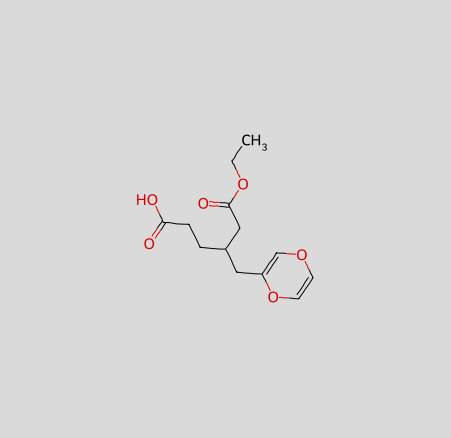 CCOC(=O)CC(CCC(=O)O)CC1=COC=CO1